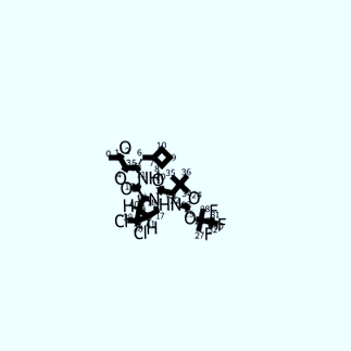 CC(=O)C(=O)[C@H](CC1CCC1)NC(=O)[C@@H]1[C@@H]2[C@H](CN1C(=O)[C@@H](NC(=O)OC(C)(C)C(F)(F)F)C(C)(C)C)C2(Cl)Cl